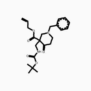 C=CCOC(=O)C1(CNC(=O)OC(C)(C)C)CN(Cc2ccccc2)CCC1=O